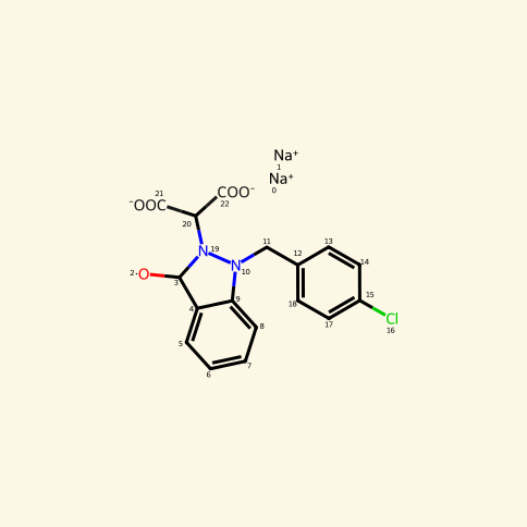 [Na+].[Na+].[O]C1c2ccccc2N(Cc2ccc(Cl)cc2)N1C(C(=O)[O-])C(=O)[O-]